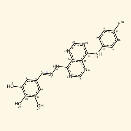 Oc1cc(/C=N/Nc2ncnc3c(Nc4ccc(F)cc4)ncnc23)cc(O)c1O